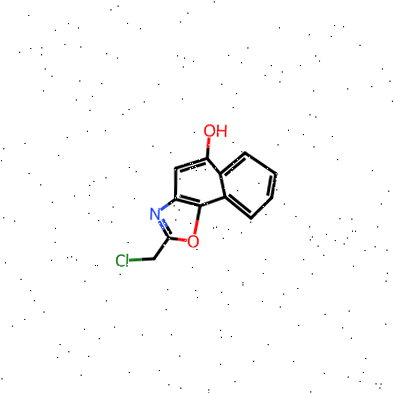 Oc1cc2nc(CCl)oc2c2ccccc12